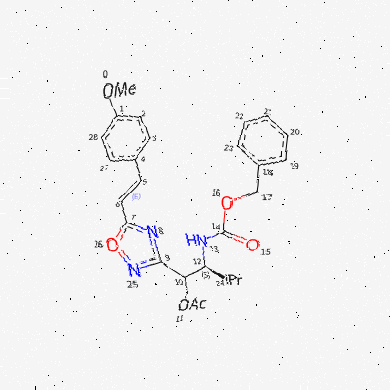 COc1ccc(/C=C/c2nc(C(OC(C)=O)[C@@H](NC(=O)OCc3ccccc3)C(C)C)no2)cc1